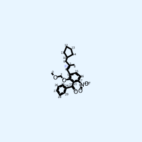 COCOc1c(/C=C(\C)CC2CCCC2)ccc([N+](=O)[O-])c1C(=O)c1ccccc1